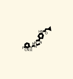 N#Cc1c(F)cccc1Nc1nc2cnc(-c3ccc(NC(=O)CC4CC4)cc3)cn2n1